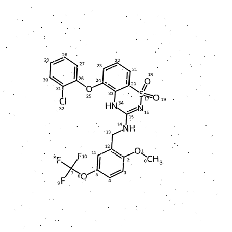 COc1ccc(OC(F)(F)F)cc1CNC1=NS(=O)(=O)c2cccc(Oc3ccccc3Cl)c2N1